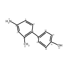 Cc1cc(N)ccc1-c1ccc(O)cc1